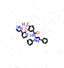 Cc1ccc(C(=O)Nc2cc(-c3ccccc3)nn2-c2ccccc2)cc1Oc1ncccc1-c1ccncn1